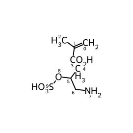 C=C(C)C(=O)O.CC(CN)OS(=O)(=O)O